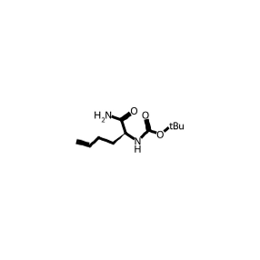 C=CCC[C@H](NC(=O)OC(C)(C)C)C(N)=O